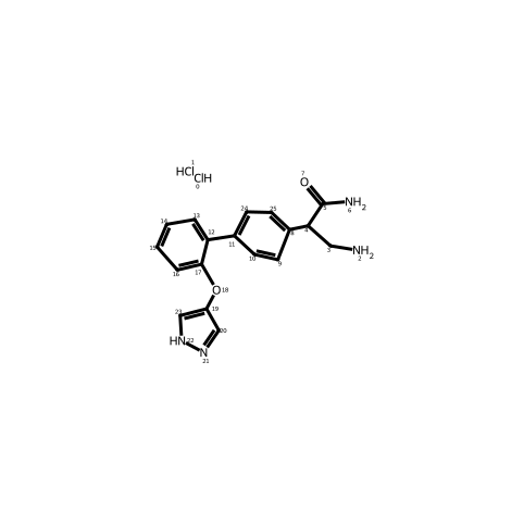 Cl.Cl.NCC(C(N)=O)c1ccc(-c2ccccc2Oc2cn[nH]c2)cc1